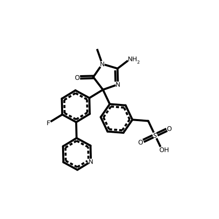 CN1C(=O)C(c2cccc(CS(=O)(=O)O)c2)(c2ccc(F)c(-c3cccnc3)c2)N=C1N